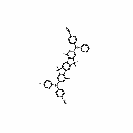 [C-]#[N+]c1ccc(N(c2ccc(C)cc2)c2cc(C)c3c(c2)C(C)(C)c2cc4c(cc2-3)C(C)(C)c2cc(N(c3ccc(C)cc3)c3ccc(C#N)cc3)cc(C)c2-4)cc1